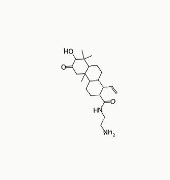 C=CC1C(C(=O)NCCN)CCC2C1CCC1C(C)(C)C(O)C(=O)CC21C